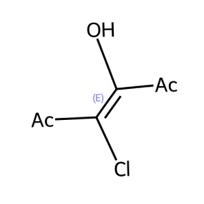 CC(=O)/C(O)=C(\Cl)C(C)=O